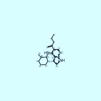 C=C(CCC)c1cnc2[nH]ccc2c1NC1CCCCC1C